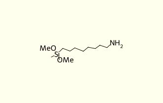 CO[Si](C)(CCCCCCCCN)OC